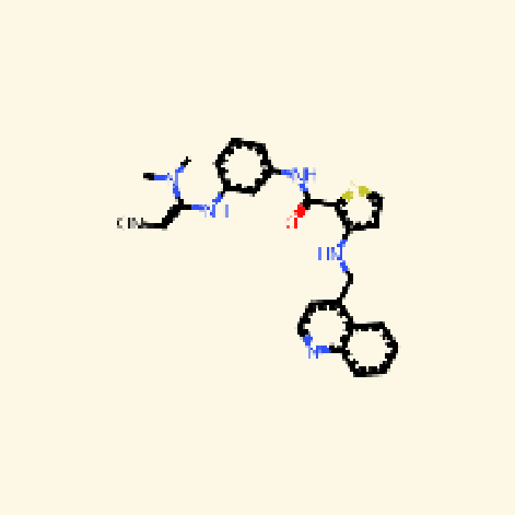 CN(C)/C(=C\N=O)Nc1cccc(NC(=O)c2sccc2NCc2ccnc3ccccc23)c1